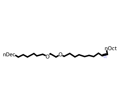 CCCCCCCC/C=C\CCCCCCCCOCCOCCCCCCCCCCCCCCCC